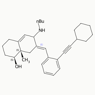 CCCCNC1C=C2CCC[C@H](O)[C@@]2(C)C/C1=C\c1ccccc1C#CC1CCCCC1